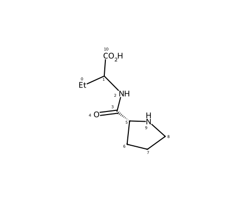 CCC(NC(=O)[C@H]1CCCN1)C(=O)O